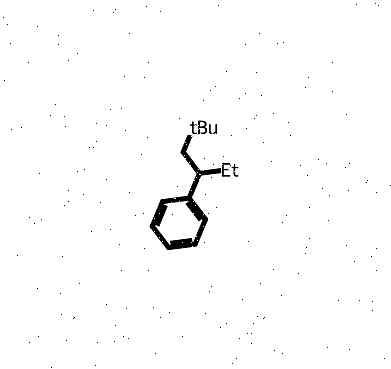 [CH2]CC(CC(C)(C)C)c1ccccc1